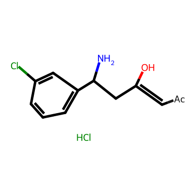 CC(=O)C=C(O)CC(N)c1cccc(Cl)c1.Cl